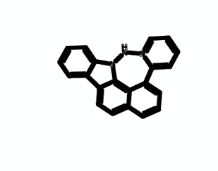 c1ccc2c(c1)c1ccc3cccc4c3c1n2[nH][n+]1ccccc41